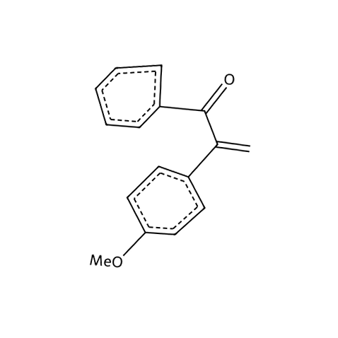 C=C(C(=O)c1ccccc1)c1ccc(OC)cc1